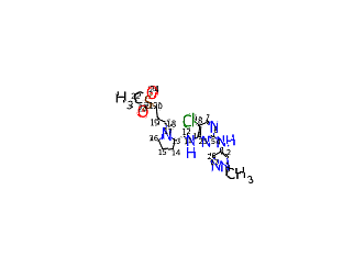 Cn1cc(Nc2ncc(Cl)c(NC[C@@H]3CCCN3CCCS(C)(=O)=O)n2)cn1